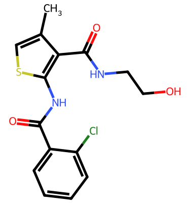 Cc1csc(NC(=O)c2ccccc2Cl)c1C(=O)NCCO